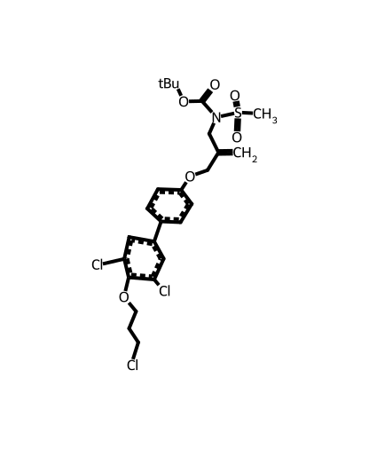 C=C(COc1ccc(-c2cc(Cl)c(OCCCCl)c(Cl)c2)cc1)CN(C(=O)OC(C)(C)C)S(C)(=O)=O